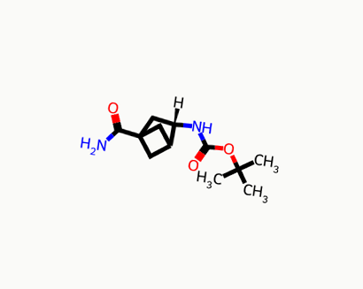 CC(C)(C)OC(=O)N[C@H]1CC2(C(N)=O)CC1C2